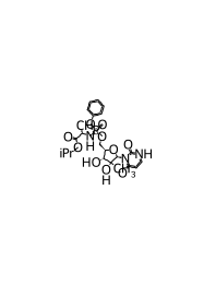 CC(C)OC(=O)[C@@H](C)N[P@@](=O)(OC[C@H]1O[C@@H](n2c(=O)cc[nH]c2=O)[C@](C)(O)[C@@H]1O)Oc1ccccc1